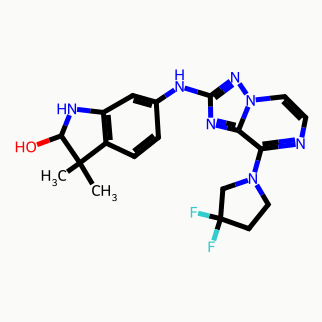 CC1(C)c2ccc(Nc3nc4c(N5CCC(F)(F)C5)nccn4n3)cc2NC1O